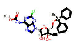 C#C[C@@]1(O)[C@@H](CO[Si](c2ccccc2)(c2ccccc2)C(C)(C)C)O[C@@H](n2cnc3c(NC(=O)OC(C)(C)C)nc(Cl)nc32)[C@@H]1O